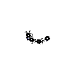 COc1cc(/C=C\c2cc(OC)c(OC)c(OC)c2)ccc1OCc1ccc(NC(=O)OC2/C=C/CCCCC2)cc1